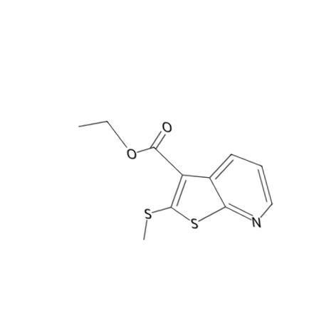 CCOC(=O)c1c(SC)sc2ncccc12